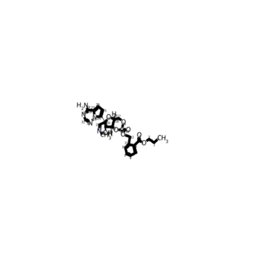 CCCOC(=O)c1ccccc1COP1(=O)OC[C@H]2O[C@@](/C=N\C)(c3ccc4c(N)ncnn34)[C@H](O)[C@@H]2O1